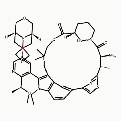 CCn1c(-c2cc([C@H]3C[C@H]4COC[C@@H](C3)N4C3COC3)cnc2[C@H](C)OC)c2c3cc(ccc31)-c1csc(n1)[C@@H](C)[C@H](N)C(=O)N1CCC[C@H](N1)C(=O)OCC(C)(C)C2